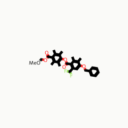 COCOC(=O)c1c(C)c(C)c(OC(=O)c2c(C(F)F)cc(OCc3ccccc3)c(C)c2C)c(C)c1C